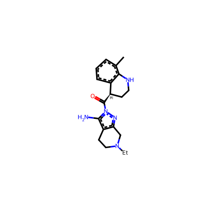 CCN1CCc2c(nn(C(=O)[C@@H]3CCNc4c(C)cccc43)c2N)C1